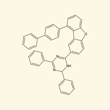 c1ccc(C2=NC(c3ccccc3)NC(c3ccc4oc5cccc(-c6ccc(-c7ccccc7)cc6)c5c4c3)=N2)cc1